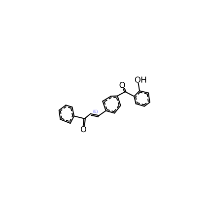 O=C(/C=C/c1ccc(C(=O)c2ccccc2O)cc1)c1ccccc1